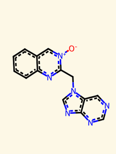 [O-][n+]1cc2ccccc2nc1Cn1cnc2ncncc21